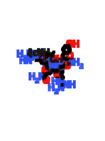 CC(=O)N[C@H](C(=O)N[C@@H](CCCNC(=N)N)C(=O)N[C@@H](CCC(N)=O)C(=O)N[C@@H](CCCNC(=N)N)C(=O)N[C@@H](Cc1ccc(O)cc1)C(N)=O)[C@@H](C)O